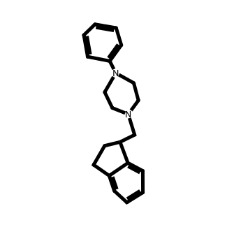 c1ccc(N2CCN(CC3CCc4ccccc43)CC2)cc1